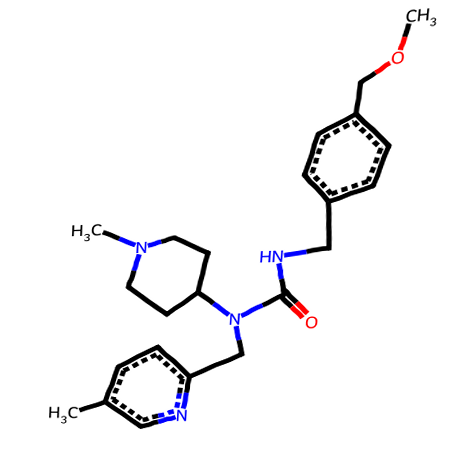 COCc1ccc(CNC(=O)N(Cc2ccc(C)cn2)C2CCN(C)CC2)cc1